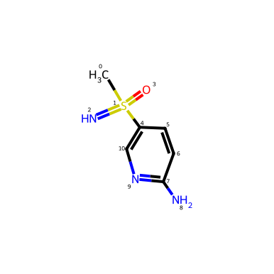 CS(=N)(=O)c1ccc(N)nc1